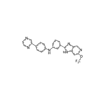 FC(F)(F)Oc1cc2[nH]c(-c3cccc(Nc4ccc(-c5cnccn5)cc4)c3)nc2cn1